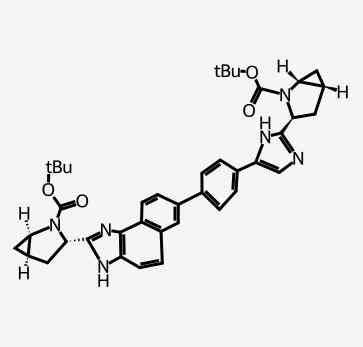 CC(C)(C)OC(=O)N1[C@@H]2C[C@@H]2C[C@H]1c1ncc(-c2ccc(-c3ccc4c(ccc5[nH]c([C@@H]6C[C@H]7C[C@H]7N6C(=O)OC(C)(C)C)nc54)c3)cc2)[nH]1